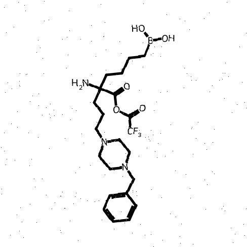 NC(CCCCB(O)O)(CCCN1CCN(Cc2ccccc2)CC1)C(=O)OC(=O)C(F)(F)F